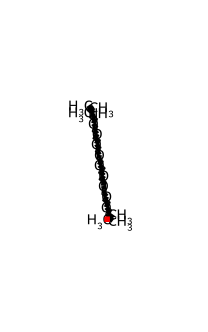 CC(C)(C)CCOCCOCCOCCOCCOCCOCCOCCOCCOCCNC(C)(C)C